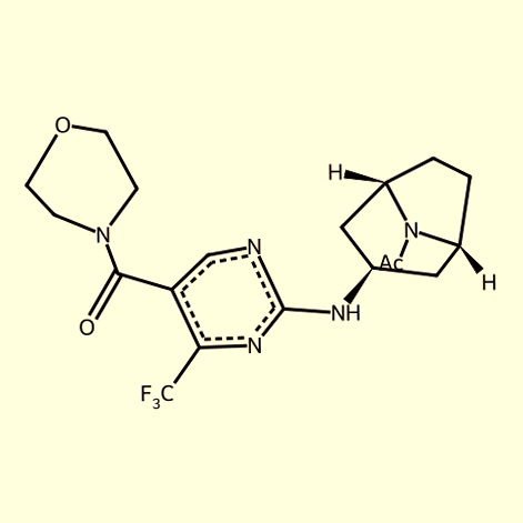 CC(=O)N1[C@@H]2CC[C@H]1C[C@H](Nc1ncc(C(=O)N3CCOCC3)c(C(F)(F)F)n1)C2